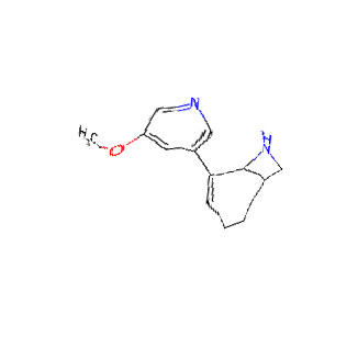 COc1cncc(C2=CCCC3CNC23)c1